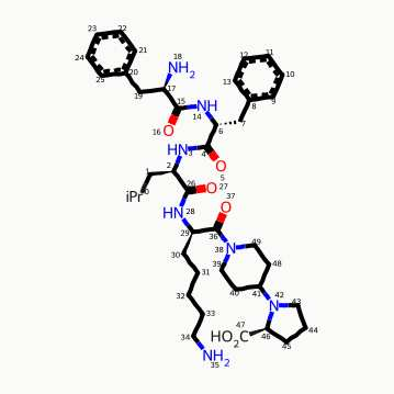 CC(C)C[C@@H](NC(=O)[C@@H](Cc1ccccc1)NC(=O)[C@H](N)Cc1ccccc1)C(=O)N[C@H](CCCCCN)C(=O)N1CCC(N2CCC[C@H]2C(=O)O)CC1